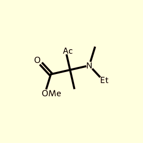 CCN(C)C(C)(C(C)=O)C(=O)OC